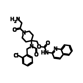 NCC(=O)N1CCC(COC(=O)Nc2ccc3ccccc3n2)(N(C=O)Cc2ccccc2Cl)CC1